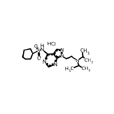 CC(C)N(CCn1ncc2c(NS(=O)(=O)C3CCCCC3)ncnc21)C(C)C.Cl